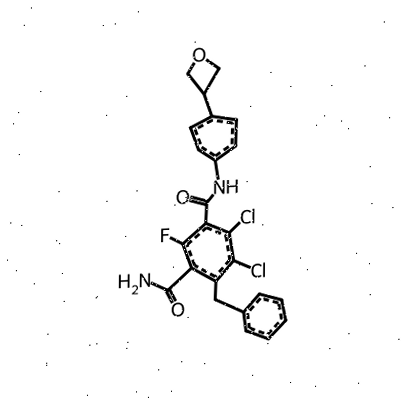 NC(=O)c1c(F)c(C(=O)Nc2ccc(C3COC3)cc2)c(Cl)c(Cl)c1Cc1ccccc1